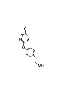 OCCc1ccc(Oc2ccc(Cl)nn2)cc1